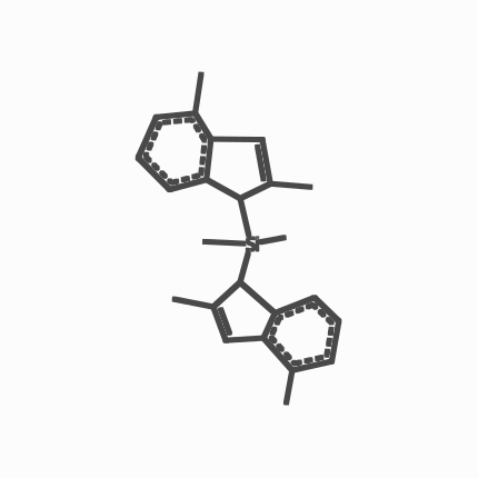 CC1=Cc2c(C)cccc2C1[Si](C)(C)C1C(C)=Cc2c(C)cccc21